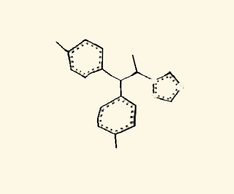 Fc1ccc(C(c2ccc(Cl)cc2)C(F)n2cncn2)cc1